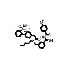 CCCCCN(Cc1cccc(C(=N)NC(=S)c2ccc(OC)cc2)c1)C(=O)Cc1ccc(-c2ccccc2S(N)(=O)=O)cc1